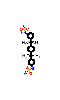 CC(C)(c1ccc(NS(=O)(=O)C(F)(F)F)cc1)c1ccc(C(C)(C)c2cccc(NS(=O)(=O)C(F)(F)F)c2)cc1